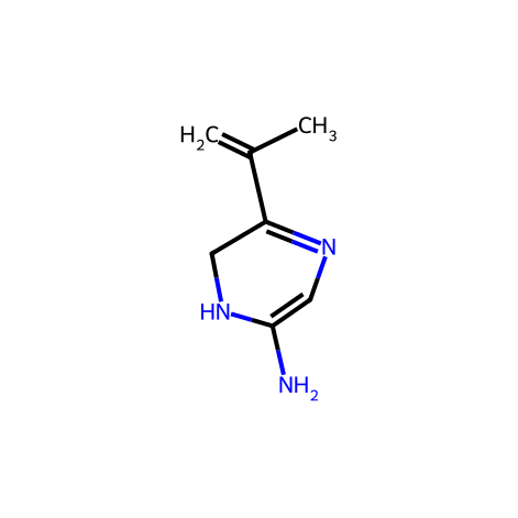 C=C(C)C1=NC=C(N)NC1